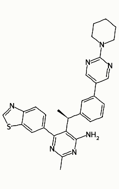 Cc1nc(N)c([C@@H](C)c2cccc(-c3cnc(N4CCCCC4)nc3)c2)c(-c2ccc3ncsc3c2)n1